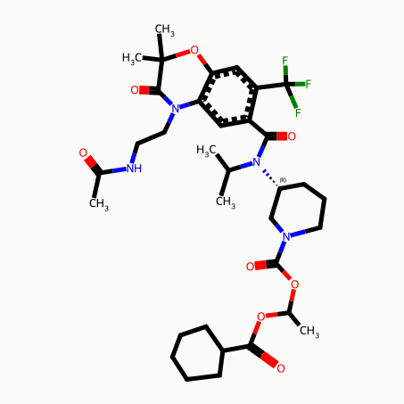 CC(=O)NCCN1C(=O)C(C)(C)Oc2cc(C(F)(F)F)c(C(=O)N(C(C)C)[C@@H]3CCCN(C(=O)OC(C)OC(=O)C4CCCCC4)C3)cc21